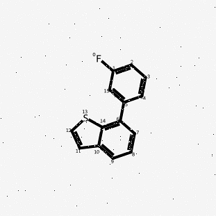 Fc1cc[c]c(-c2cccc3ccsc23)c1